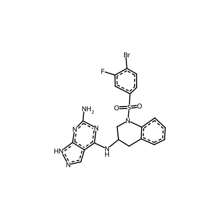 Nc1nc(NC2Cc3ccccc3N(S(=O)(=O)c3ccc(Br)c(F)c3)C2)c2cn[nH]c2n1